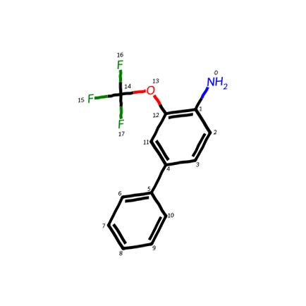 Nc1ccc(-c2ccccc2)cc1OC(F)(F)F